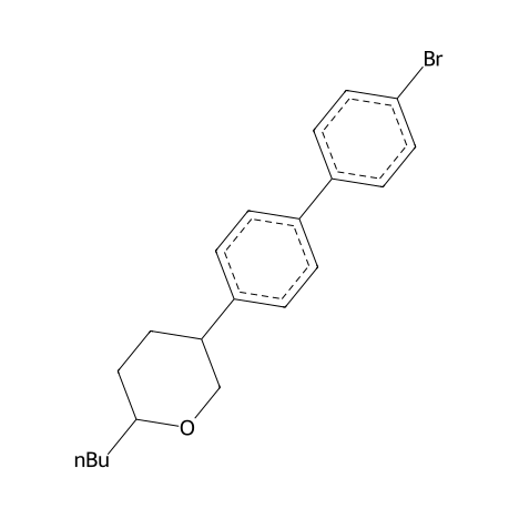 CCCCC1CCC(c2ccc(-c3ccc(Br)cc3)cc2)CO1